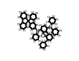 c1ccc(-c2cccc3c2oc2c(N(c4ccccc4)c4ccc(C5(c6ccccc6)c6ccccc6-c6ccccc65)cc4)ccc(N(c4ccccc4)c4ccccc4)c23)cc1